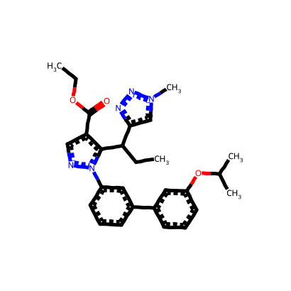 CCOC(=O)c1cnn(-c2cccc(-c3cccc(OC(C)C)c3)c2)c1C(CC)c1cn(C)nn1